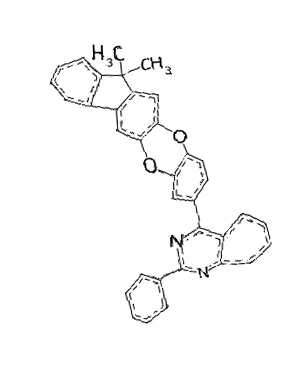 CC1(C)c2ccccc2-c2cc3c(cc21)Oc1ccc(-c2nc(-c4ccccc4)nc4ccccc24)cc1O3